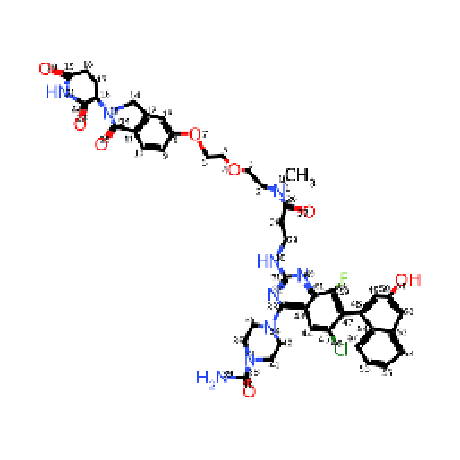 CN(CCOCCOc1ccc2c(c1)CN(C1CCC(=O)NC1=O)C2=O)C(=O)CCNc1nc(N2CCN(C(N)=O)CC2)c2cc(Cl)c(-c3cc(O)cc4ccccc34)c(F)c2n1